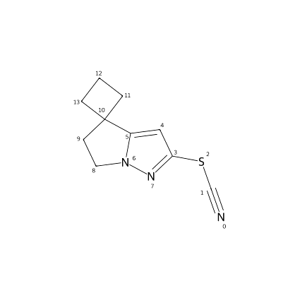 N#CSc1cc2n(n1)CCC21CCC1